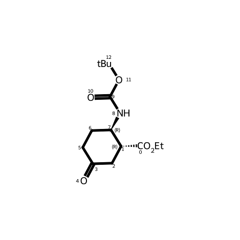 CCOC(=O)[C@@H]1CC(=O)CC[C@H]1NC(=O)OC(C)(C)C